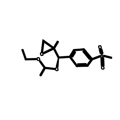 CCOC(C)O[C@H](c1ccc(S(C)(=O)=O)cc1)C1(C)CO1